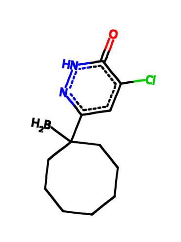 BC1(c2cc(Cl)c(=O)[nH]n2)CCCCCCC1